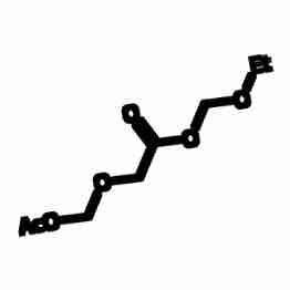 CCOCOC(=O)COCOC(C)=O